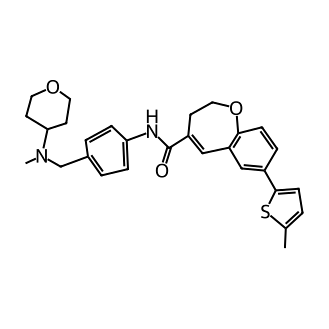 Cc1ccc(-c2ccc3c(c2)C=C(C(=O)Nc2ccc(CN(C)C4CCOCC4)cc2)CCO3)s1